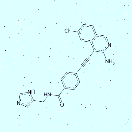 Nc1ncc2ccc(Cl)cc2c1C#Cc1ccc(C(=O)NCc2cnc[nH]2)cc1